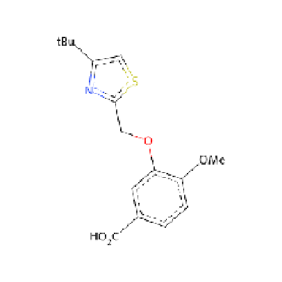 COc1ccc(C(=O)O)cc1OCc1nc(C(C)(C)C)cs1